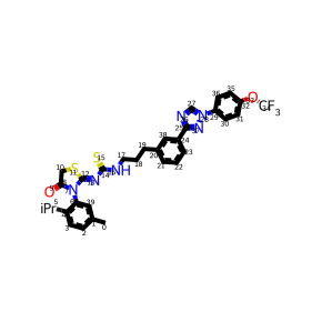 Cc1ccc(C(C)C)c(N2C(=O)CS/C2=N\C(=S)NCCCc2cccc(-c3ncn(-c4ccc(OC(F)(F)F)cc4)n3)c2)c1